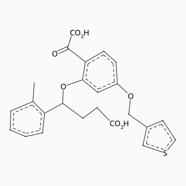 Cc1ccccc1C(CCC(=O)O)Oc1cc(OCc2ccsc2)ccc1C(=O)C(=O)O